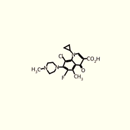 Cc1c(F)c(N2CCN(C)CC2)c(Cl)c2c1c(=O)c(C(=O)O)cn2C1CC1